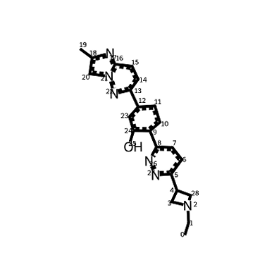 CCN1CC(c2ccc(-c3ccc(-c4ccc5nc(C)cn5n4)cc3O)nn2)C1